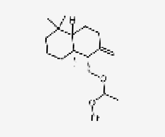 C=C1CC[C@H]2C(C)(C)CCC[C@]2(C)[C@H]1COC(C)OCC